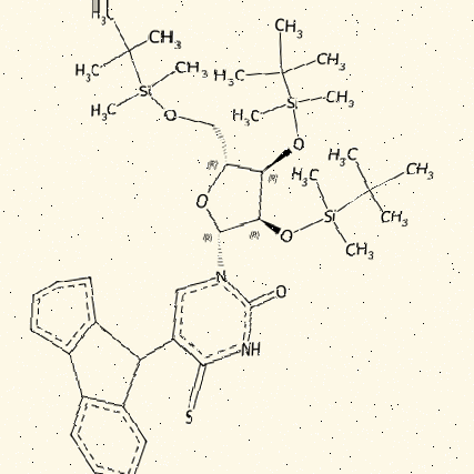 CC(C)(C)[Si](C)(C)OC[C@H]1O[C@@H](n2cc(C3c4ccccc4-c4ccccc43)c(=S)[nH]c2=O)[C@H](O[Si](C)(C)C(C)(C)C)[C@@H]1O[Si](C)(C)C(C)(C)C